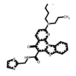 CCCCN(CCC)c1ccc2c(=O)c(C(=O)NCc3nccs3)c3sc4ccccc4n3c2n1